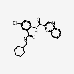 O=C(Nc1ccc(Cl)cc1C(=O)NCC1CCCCC1)c1cnc2ccccc2n1